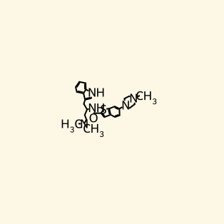 CN(C)CCC(Cc1c[nH]c2ccccc12)NC(=O)c1cc2ccc(N3CCN(C)CC3)cc2s1